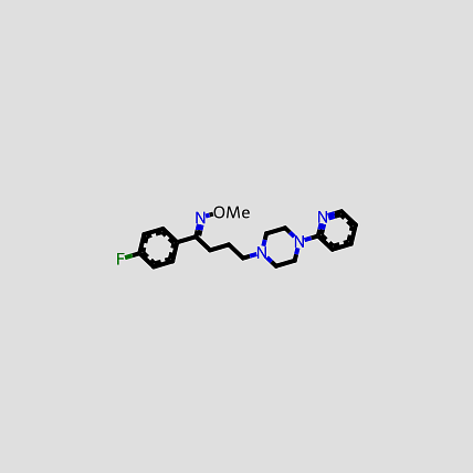 CON=C(CCCN1CCN(c2ccccn2)CC1)c1ccc(F)cc1